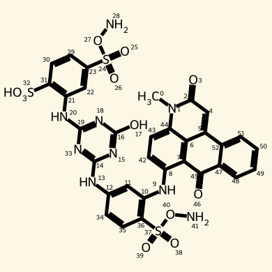 Cn1c(=O)cc2c3c(c(Nc4cc(Nc5nc(O)nc(Nc6cc(S(=O)(=O)ON)ccc6S(=O)(=O)O)n5)ccc4S(=O)(=O)ON)ccc31)C(=O)c1ccccc1-2